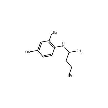 CC(C)CCC(C)Nc1ccc(N=O)cc1C(C)(C)C